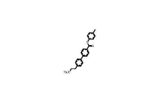 COCCc1ccc(-c2ccc(C(=O)Oc3ccc(C)cc3)cc2)cc1